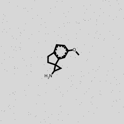 COc1ccc2c(c1)C1(CC2)CC1N